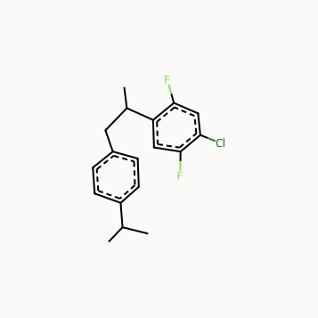 CC(C)c1ccc(CC(C)c2cc(F)c(Cl)cc2F)cc1